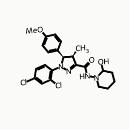 COc1ccc([C@H]2[C@@H](C)C(C(=O)NN3CCCCC3O)=NN2c2ccc(Cl)cc2Cl)cc1